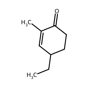 CCC1C=C(C)C(=O)CC1